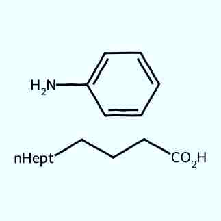 CCCCCCCCCCC(=O)O.Nc1ccccc1